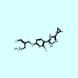 NC/C(=C\F)COc1ccc(-c2nc(C3CC3)n[nH]2)c(F)c1